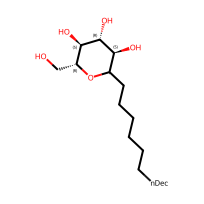 CCCCCCCCCCCCCCCC[C]1O[C@H](CO)[C@@H](O)[C@H](O)[C@H]1O